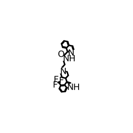 O=C(NCCCN1CCC(c2c[nH]c3cccc(C(F)(F)F)c23)CC1)c1nccc2ccccc12